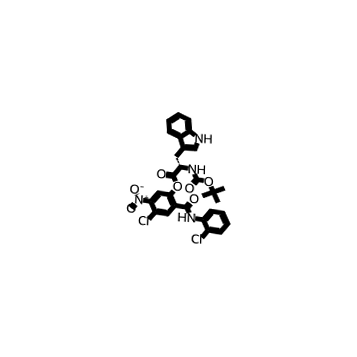 CC(C)(C)OC(=O)N[C@@H](Cc1c[nH]c2ccccc12)C(=O)Oc1cc([N+](=O)[O-])c(Cl)cc1C(=O)Nc1ccccc1Cl